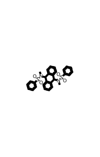 CN(C1c2ccccc2C(N(C)S(=O)(=O)c2ccccc2)c2ccccc21)S(=O)(=O)c1ccccc1